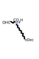 CCCCCCCCCCCCCCCCCCCCCN[C@@H](CCC=O)C(=O)O